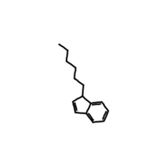 CCCCCCC1C=Cc2ccccc21